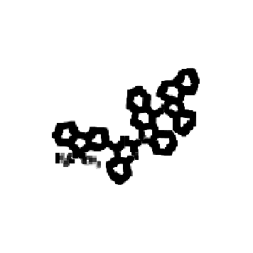 CC1(C)c2ccccc2-c2ccc(-c3nc(-n4c5ccccc5c5c(-n6c7ccccc7c7c8ccccc8ccc76)c6ccccc6cc54)nc4ccccc34)cc21